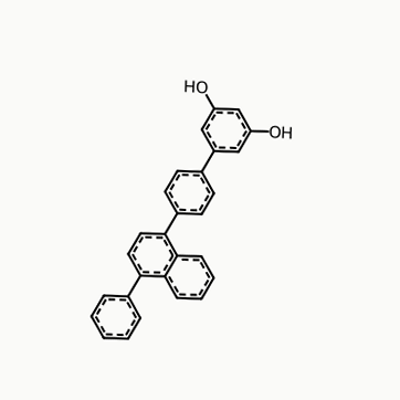 Oc1cc(O)cc(-c2ccc(-c3ccc(-c4ccccc4)c4ccccc34)cc2)c1